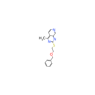 Cc1nc(SCCOCc2ccccc2)nc2cnccc12